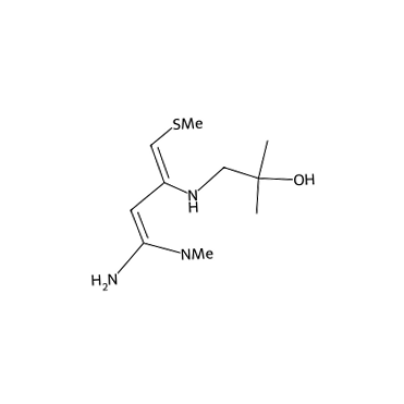 CN/C(N)=C\C(=C\SC)NCC(C)(C)O